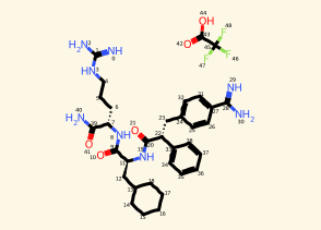 N=C(N)NCCC[C@H](NC(=O)[C@H](CC1CCCCC1)NC(=O)[C@H](Cc1ccc(C(=N)N)cc1)c1ccccc1)C(N)=O.O=C(O)C(F)(F)F